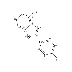 Cc1ccc(C2=Nc3c(C)cccc3[N]2)cc1